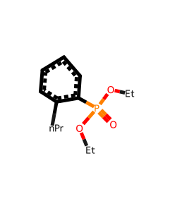 CCCc1ccccc1P(=O)(OCC)OCC